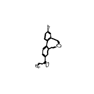 O=C(CBr)c1ccc2c(c1)COCc1cc(Br)ccc1-2